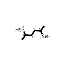 CC([SeH])CCC(C)[SeH]